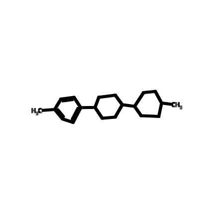 Cc1ccc(C2CCC(C3CCC(C)CC3)CC2)cc1